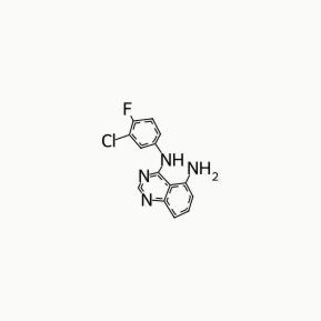 Nc1cccc2ncnc(Nc3ccc(F)c(Cl)c3)c12